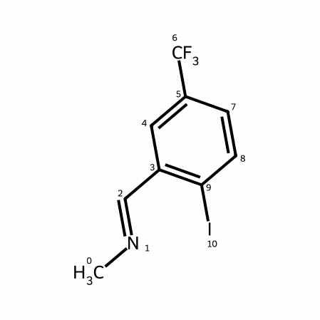 C/N=C/c1cc(C(F)(F)F)ccc1I